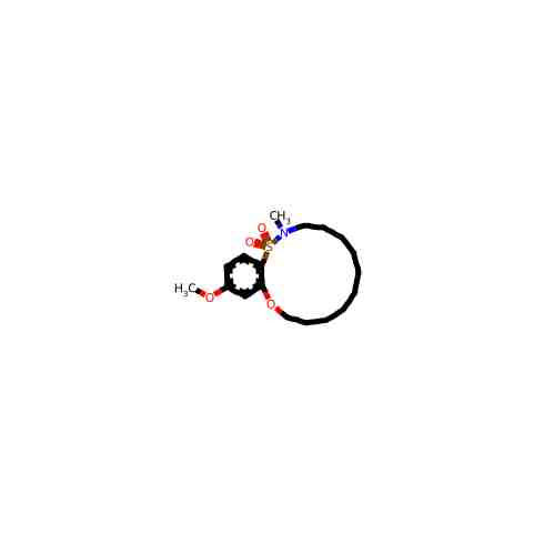 COc1ccc2c(c1)OCCCCCCCCCCN(C)S2(=O)=O